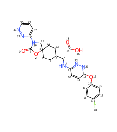 O=C1OC2(CCC(CNc3ccc(Oc4ccc(F)cc4)nn3)CC2)CN1c1cccnn1.O=CO